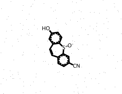 N#Cc1ccc2c(c1)[S+]([O-])c1ccc(O)cc1C=C2